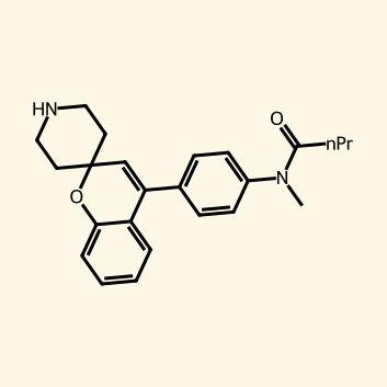 CCCC(=O)N(C)c1ccc(C2=CC3(CCNCC3)Oc3ccccc32)cc1